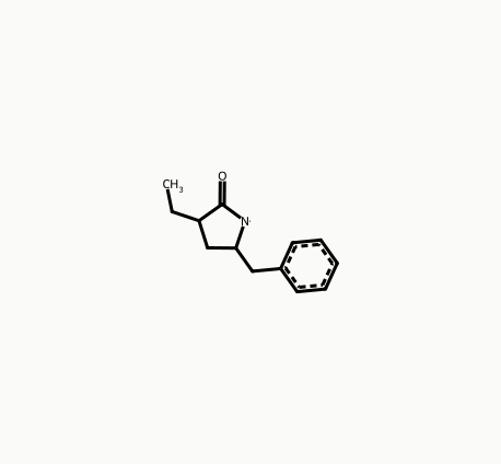 CCC1CC(Cc2ccccc2)[N]C1=O